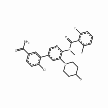 CN(C(=O)c1c(F)cccc1Cl)c1ncc(-c2cc(C(N)=O)ccc2Cl)cc1N1CCC(F)CC1